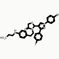 O=C(O)CCNc1ccc(CCN2C(=O)COC2c2cn(-c3ccc(Br)cc3)nc2-c2ccc(F)cc2)cc1